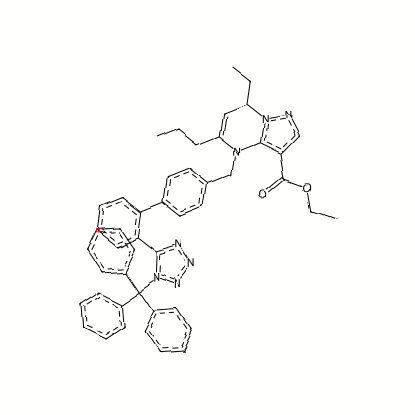 CCCC1=CC(CC)n2ncc(C(=O)OCC)c2N1Cc1ccc(-c2ccccc2-c2nnnn2C(c2ccccc2)(c2ccccc2)c2ccccc2)cc1